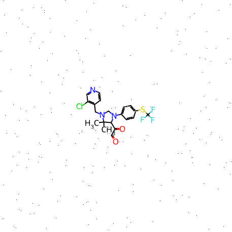 CC1(C)C(C(=O)C=O)N(c2ccc(SC(F)(F)F)cc2)CN1Cc1ccncc1Cl